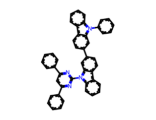 c1ccc(-c2cc(-c3ccccc3)nc(-n3c4ccccc4c4ccc(-c5ccc6c7ccccc7n(-c7ccccc7)c6c5)cc43)n2)cc1